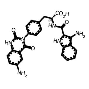 Nc1ccc2[nH]c(=O)n(-c3ccc(C[C@H](NC(=O)c4[nH]c5ccccc5c4N)C(=O)O)cc3)c(=O)c2c1